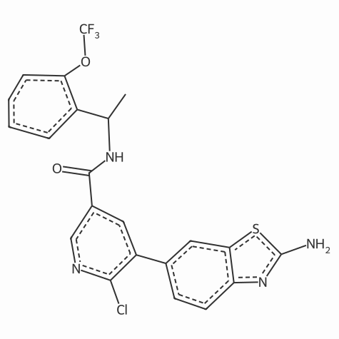 CC(NC(=O)c1cnc(Cl)c(-c2ccc3nc(N)sc3c2)c1)c1ccccc1OC(F)(F)F